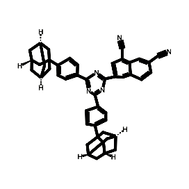 N#Cc1ccc2cc(-c3nc(-c4ccc(C56C[C@H]7C[C@@H](C5)C[C@@H](C6)C7)cc4)nc(-c4ccc(C56C[C@H]7C[C@H](C5)C[C@@H](C6)C7)cc4)n3)cc(C#N)c2c1